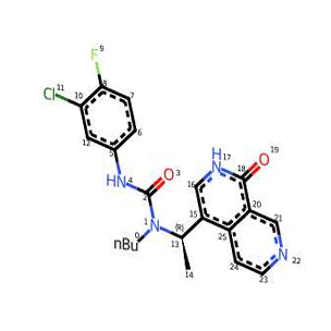 CCCCN(C(=O)Nc1ccc(F)c(Cl)c1)[C@H](C)c1c[nH]c(=O)c2cnccc12